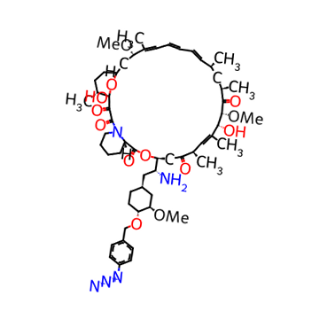 CO[C@H]1C[C@@H]2CC[C@@H](C)[C@@](O)(O2)C(=O)C(=O)N2CCCC[C@H]2C(=O)O[C@H]([C@H](N)C[C@@H]2CC[C@@H](OCc3ccc(N=[N+]=[N-])cc3)[C@H](OC)C2)CC(=O)[C@H](C)/C=C(\C)[C@@H](O)[C@@H](OC)C(=O)[C@H](C)C[C@H](C)/C=C/C=C/C=C/1C